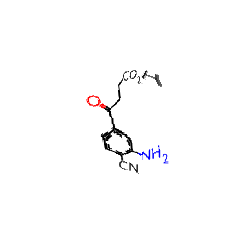 N#Cc1ccc(C(=O)CCC(=O)O)cc1N